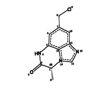 C[C@@H]1C(=O)Nc2cc(CCl)cc3ncn1c23